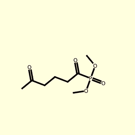 COP(=O)(OC)C(=O)CCCC(C)=O